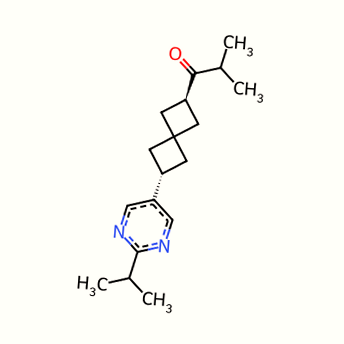 CC(C)c1ncc([C@H]2CC3(C[C@H](C(=O)C(C)C)C3)C2)cn1